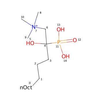 CCCCCCCCCCCC(O)(C[N+](C)(C)C)P(=O)(O)O